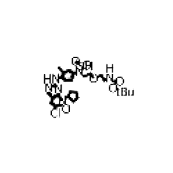 Cc1cc(N(CCOCCNC(=O)OC(C)(C)C)[SH](=O)=O)ccc1Nc1ncc2cc(Cl)c(=O)n(C3CCCC3)c2n1